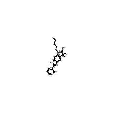 CCCCCN1C(=O)C(C)(C)c2cc3nc(-c4cccnc4)[nH]c3cc21